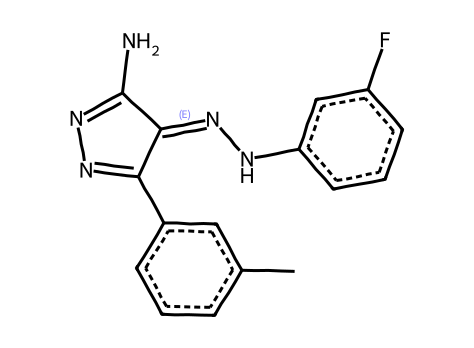 Cc1cccc(C2=NN=C(N)/C2=N/Nc2cccc(F)c2)c1